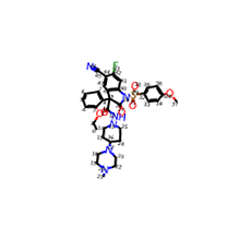 CCOc1ccccc1C1(C(=O)NN2CCC(N3CCN(C)CC3)CC2)C(=O)N(S(=O)(=O)c2ccc(OC)cc2)c2cc(F)c(C#N)cc21